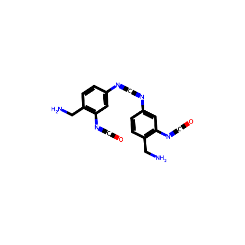 NCc1ccc(N=C=Nc2ccc(CN)c(N=C=O)c2)cc1N=C=O